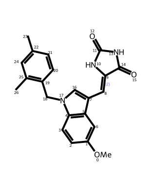 COc1ccc2c(c1)c(/C=C1\NC(=O)NC1=O)cn2Cc1ccc(C)cc1C